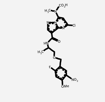 COc1cc(F)c(COCC(C)NC(=O)c2cnn3c(N(C)C(=O)O)cc(Cl)nc23)cc1[N+](=O)[O-]